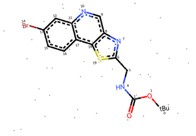 CC(C)(C)OC(=O)NCc1nc2cnc3cc(Br)ccc3c2s1